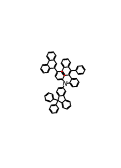 c1ccc(-c2c(-c3ccccc3N(c3ccc(-c4cc5ccccc5c5ccccc45)cc3)c3ccc4c(c3)-c3ccccc3C4(c3ccccc3)c3ccccc3)ccc3ccccc23)cc1